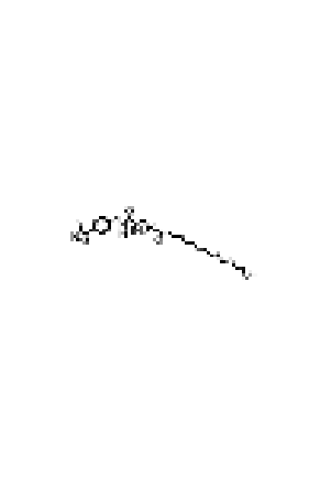 Cc1ncsc1-c1ccc(CNC(=O)C2CC(OC(=O)CCCCCCCCCCCCCO)CN2)cc1